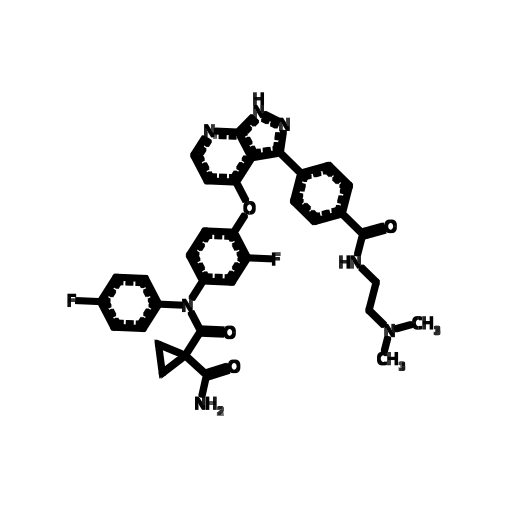 CN(C)CCNC(=O)c1ccc(-c2n[nH]c3nccc(Oc4ccc(N(C(=O)C5(C(N)=O)CC5)c5ccc(F)cc5)cc4F)c23)cc1